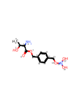 CC(O)C(N)C(=O)OCc1ccc(CON(O)O)cc1